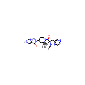 CN1C=C2C(=O)N(C3CCN(C(=O)[C@](Cc4cccnc4)(NC(=O)O)C(C)(C)C)CC3)CN2C1